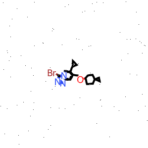 Brc1nnc2cc(COC3CCC4(CC3)CC4)c(C3CC3)cn12